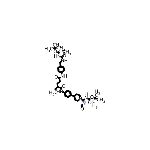 C=CC(CCC(=O)Nc1ccc(CN/C(=N/C)NC(=O)OC(C)(C)C)cc1)C(=O)Nc1ccc(C2=CCN(/C(=N\C=O)NC(=O)OC(C)(C)C)CC2)cc1